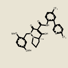 COc1ccc(OC)c(CN2C(=O)C(C(=O)Nc3ccc(C(F)(F)F)cc3-c3ccc(C(F)(F)F)nc3)=C(O)[C@@]3(C)CCCN23)c1